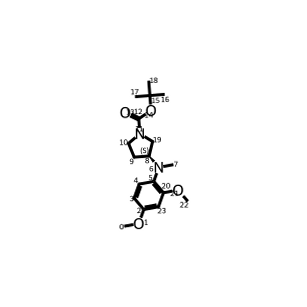 COc1ccc(N(C)[C@H]2CCN(C(=O)OC(C)(C)C)C2)c(OC)c1